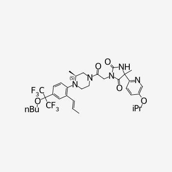 CC=Cc1cc(C(OCCCC)(C(F)(F)F)C(F)(F)F)ccc1N1CCN(C(=O)CN2C(=O)NC(C)(c3ccc(OC(C)C)cn3)C2=O)C[C@@H]1C